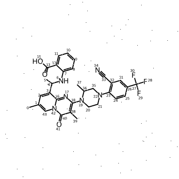 Cc1cc(C(C)Nc2ccccc2C(=O)O)c2nc(N3CCN(c4ccc(C(F)(F)F)cc4C#N)CC3C)c(C)c(=O)n2c1